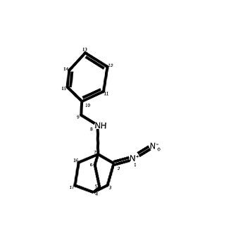 [N-]=[N+]=C1CC2CCC1(NCc1ccccc1)CC2